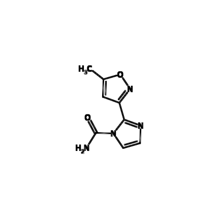 Cc1cc(-c2nccn2C(N)=O)no1